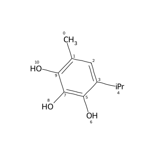 Cc1cc(C(C)C)c(O)c(O)c1O